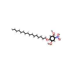 CCCCCCCCCCCCCCCCOc1cc(OC)c([N+](=O)[O-])cc1OC